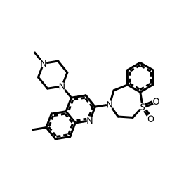 Cc1ccc2nc(N3CCS(=O)(=O)c4ccccc4C3)cc(N3CCN(C)CC3)c2c1